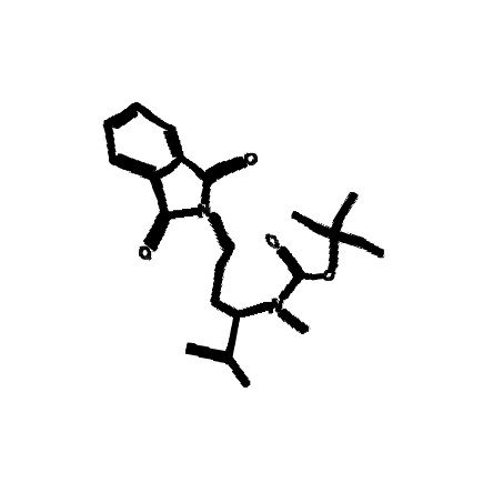 C=C(C)C(CCN1C(=O)c2ccccc2C1=O)N(C)C(=O)OC(C)(C)C